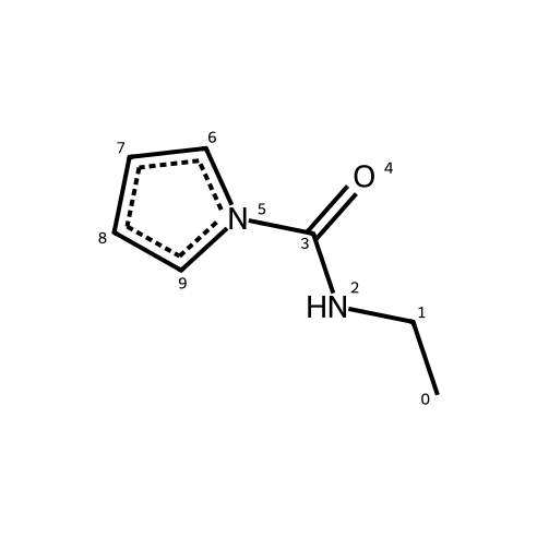 CCNC(=O)n1cccc1